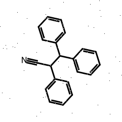 N#CC(c1ccccc1)C(c1ccccc1)c1ccccc1